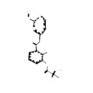 CSc1nccc(CC(=O)c2cccc(NC(=O)C(C)(C)C)c2Cl)n1